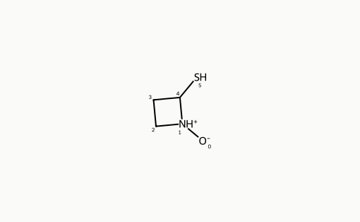 [O-][NH+]1CCC1S